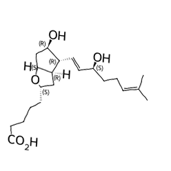 CC(C)=CCC[C@H](O)C=C[C@@H]1[C@H]2C[C@H](CCCCC(=O)O)O[C@H]2C[C@H]1O